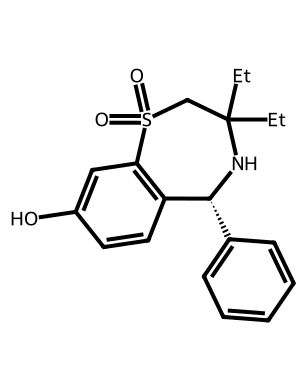 CCC1(CC)CS(=O)(=O)c2cc(O)ccc2[C@@H](c2ccccc2)N1